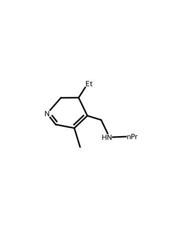 CCCNCC1=C(C)C=NCC1CC